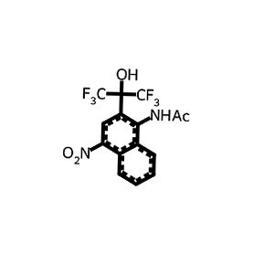 CC(=O)Nc1c(C(O)(C(F)(F)F)C(F)(F)F)cc([N+](=O)[O-])c2ccccc12